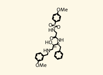 COc1ccc(S(=O)(=O)NCC(=O)N[C@@H](Cc2ccccc2)[C@H](O)CNCc2cccc(OC)c2)cc1